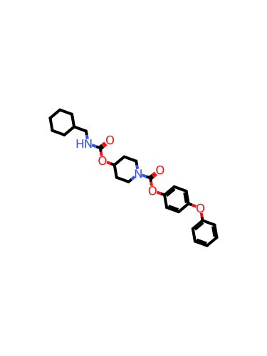 O=C(NCC1CCCCC1)OC1CCN(C(=O)Oc2ccc(Oc3ccccc3)cc2)CC1